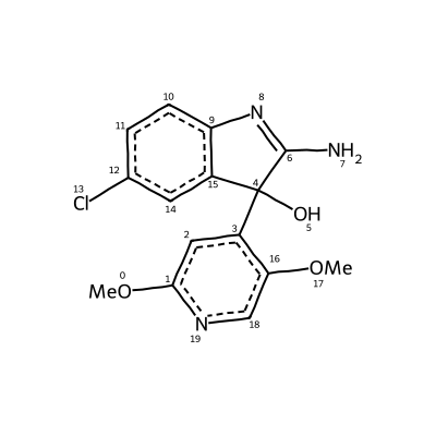 COc1cc(C2(O)C(N)=Nc3ccc(Cl)cc32)c(OC)cn1